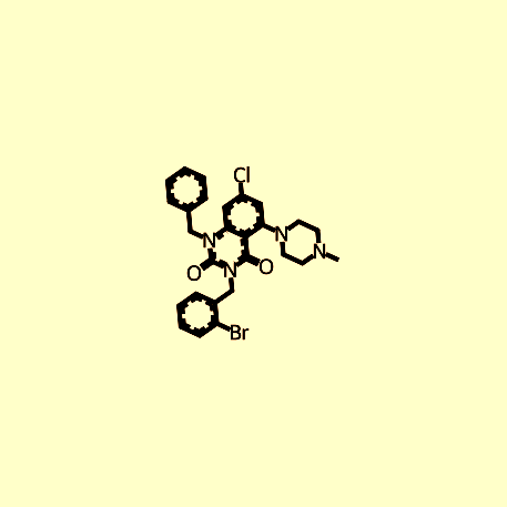 CN1CCN(c2cc(Cl)cc3c2c(=O)n(Cc2ccccc2Br)c(=O)n3Cc2ccccc2)CC1